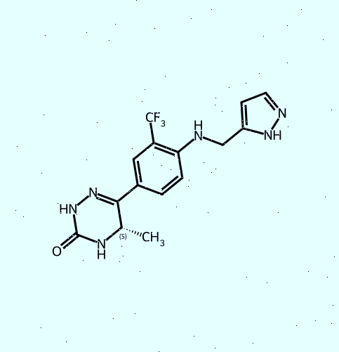 C[C@@H]1NC(=O)NN=C1c1ccc(NCc2ccn[nH]2)c(C(F)(F)F)c1